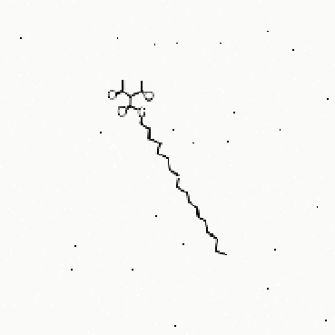 CCCCCCCCCCCCCCCCCCOC(=O)C(C(C)=O)C(C)=O